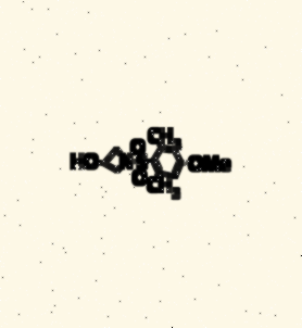 COc1cc(C)c(S(=O)(=O)N2CC(O)C2)c(C)c1